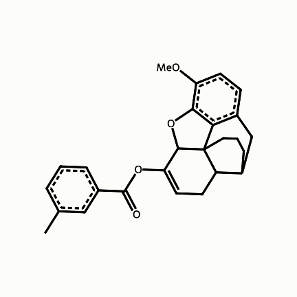 COc1ccc2c3c1OC1C(OC(=O)c4cccc(C)c4)=CCC4C(CCCC314)C2